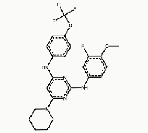 COc1ccc(Nc2nc(Nc3ccc(OC(F)(F)F)cc3)cc(N3CCCCC3)n2)cc1F